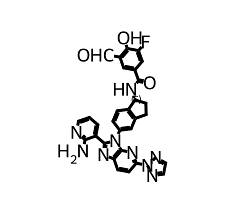 Nc1ncccc1-c1nc2ccc(-n3nccn3)nc2n1-c1ccc2c(c1)CC[C@@H]2NC(=O)c1cc(F)c(O)c(C=O)c1